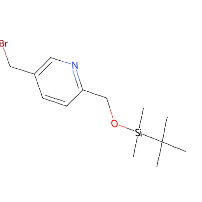 CC(C)(C)[Si](C)(C)OCc1ccc(CBr)cn1